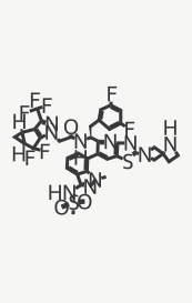 Cn1nc(NS(C)(=O)=O)c2cccc(-c3cc4sc(N5CC6(CCN6)C5)nc4nc3[C@H](Cc3cc(F)cc(F)c3)NC(=O)Cn3nc(C(F)(F)F)c4c3C(F)(F)[C@@H]3C[C@H]43)c21